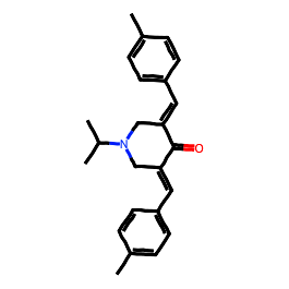 Cc1ccc(/C=C2\CN(C(C)C)C/C(=C\c3ccc(C)cc3)C2=O)cc1